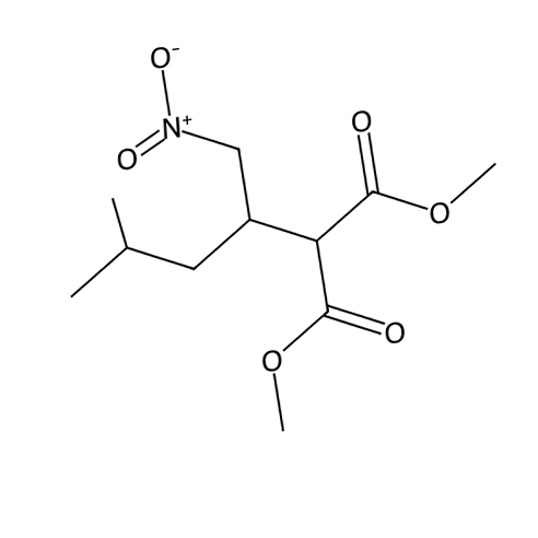 COC(=O)C(C(=O)OC)C(CC(C)C)C[N+](=O)[O-]